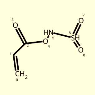 C=CC(=O)ON[SH](=O)=O